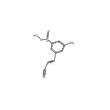 CO[PH](=O)c1cc(C)cc(/C=C/C#N)c1